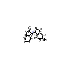 O=C1Nc2ccccc2/C1=C1/CCc2cc(Br)ccc21